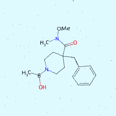 CON(C)C(=O)C1(Cc2ccccc2)CCN(B(C)O)CC1